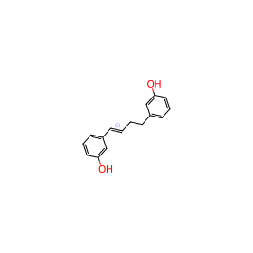 Oc1cccc(/C=C/CCc2cccc(O)c2)c1